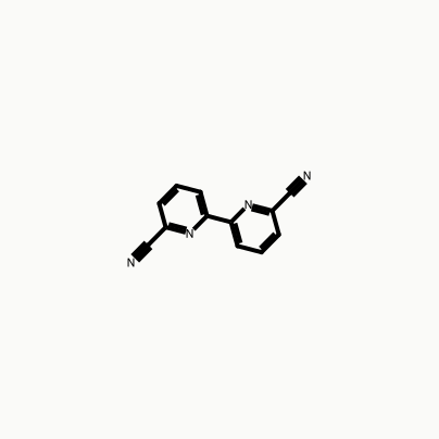 N#Cc1cccc(-c2cccc(C#N)n2)n1